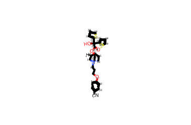 N#Cc1ccc(OCCC[N+]23CCC(CC2)[C@@H](OC(=O)C(O)(c2cccs2)c2cccs2)C3)cc1